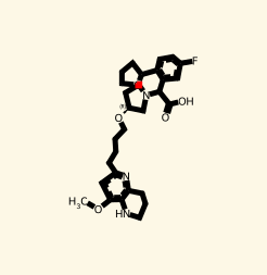 COc1cc(CCCCO[C@@H]2CCN(C(C(=O)O)c3cc(F)ccc3C3CCCO3)C2)nc2c1NCCC2